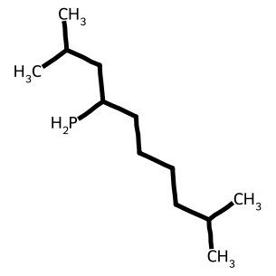 CC(C)CCCCC(P)CC(C)C